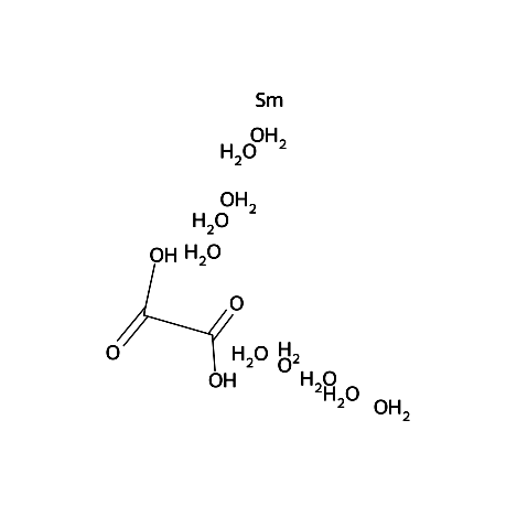 O.O.O.O.O.O.O.O.O.O.O=C(O)C(=O)O.[Sm]